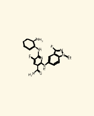 CCn1nc(F)c2cc(Nc3nc(N[C@H]4CCCC[C@H]4N)c(F)cc3C(N)=O)ccc21